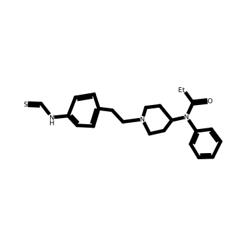 CCC(=O)N(c1ccccc1)C1CCN(CCc2ccc(NC=S)cc2)CC1